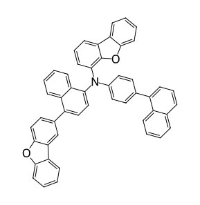 c1ccc2c(-c3ccc(N(c4ccc(-c5ccc6oc7ccccc7c6c5)c5ccccc45)c4cccc5c4oc4ccccc45)cc3)cccc2c1